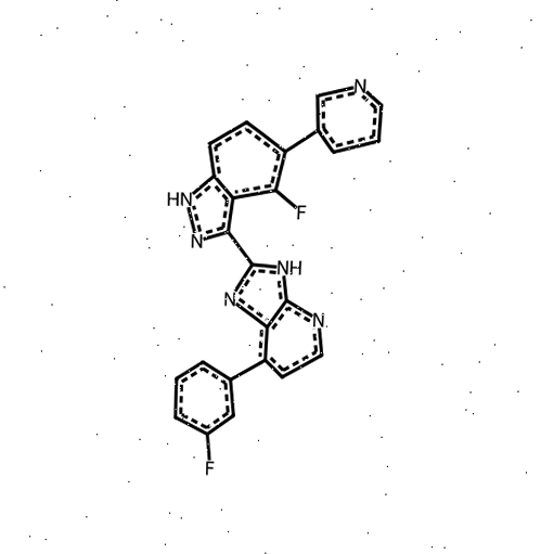 Fc1cccc(-c2ccnc3[nH]c(-c4n[nH]c5ccc(-c6cccnc6)c(F)c45)nc23)c1